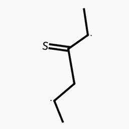 C[CH]CC(=S)[CH]C